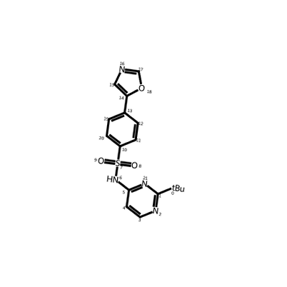 CC(C)(C)c1nccc(NS(=O)(=O)c2ccc(-c3cnco3)cc2)n1